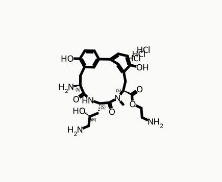 CN1C(=O)[C@H](C[C@@H](O)CN)NC(=O)[C@@H](N)Cc2cc(ccc2O)-c2ccc(O)c(c2)C[C@H]1C(=O)OCCN.Cl.Cl.Cl